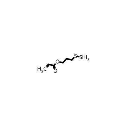 C=CC(=O)OCCCS[SiH3]